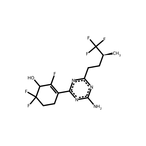 C[C@@H](CCc1nc(N)nc(C2=C(F)C(O)C(F)(F)CC2)n1)C(F)(F)F